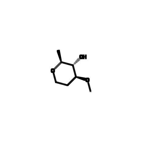 CO[C@H]1CCO[C@@H](C)[C@@H]1O